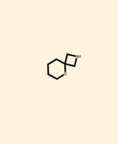 C1CCC2(CNC2)OC1